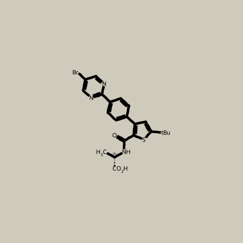 C[C@H](NC(=O)c1sc(C(C)(C)C)cc1-c1ccc(-c2ncc(Br)cn2)cc1)C(=O)O